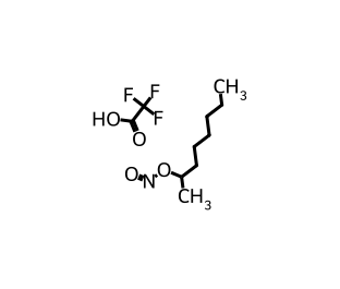 CCCCCCC(C)ON=O.O=C(O)C(F)(F)F